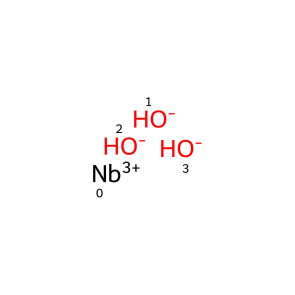 [Nb+3].[OH-].[OH-].[OH-]